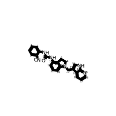 N#Cc1ccccc1NC(=O)Nc1cccc2c1CCN2Cc1c[nH]c2ncccc12